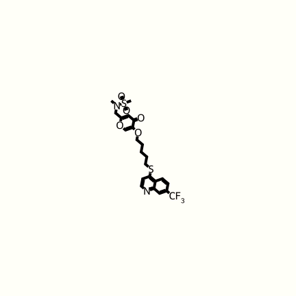 CN(Cc1cc(=O)c(OCCCCCSc2ccnc3cc(C(F)(F)F)ccc23)co1)S(C)(=O)=O